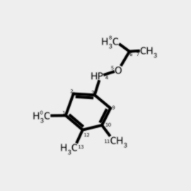 Cc1cc(POC(C)C)cc(C)c1C